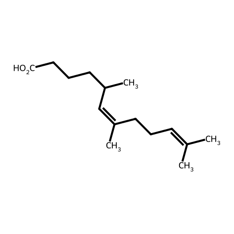 CC(C)=CCCC(C)=CC(C)CCCC(=O)O